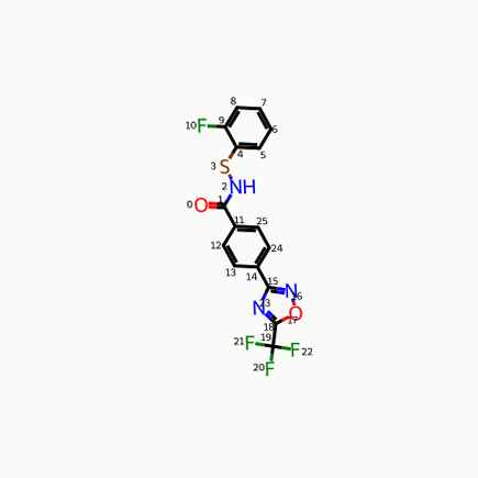 O=C(NSc1ccccc1F)c1ccc(-c2noc(C(F)(F)F)n2)cc1